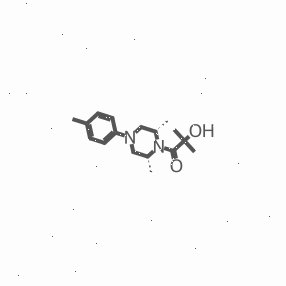 Cc1ccc(N2C[C@@H](C)N(C(=O)C(C)(C)O)[C@@H](C)C2)cc1